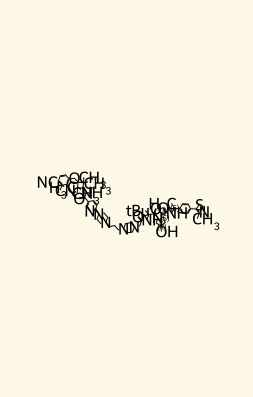 Cc1ncsc1-c1ccc([C@H](C)NC(=O)[C@@H]2C[C@@H](O)CN2C(=O)C(NC(=O)CN2CCN(CCCN3CCN(c4ccc(C(=O)NC5C(C)(C)C(Oc6ccc(C#N)c(C#N)c6)C5(C)C)cn4)CC3)CC2)C(C)(C)C)cc1